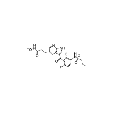 CCCS(=O)(=O)Nc1ccc(F)c(C(=O)c2c[nH]c3ncc(CCC(=O)NOC)cc23)c1F